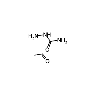 CC=O.NNC(N)=O